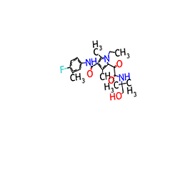 CCn1c(C)c(C(=O)Nc2ccc(F)c(C)c2)c(C)c1C(=O)C(=O)NC(C)(C)CO